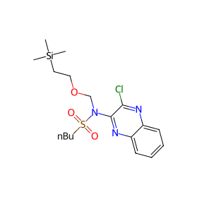 CCCCS(=O)(=O)N(COCC[Si](C)(C)C)c1nc2ccccc2nc1Cl